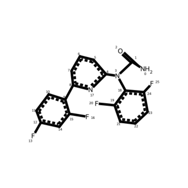 NC(=O)N(c1cccc(-c2ccc(F)cc2F)n1)c1c(F)cccc1F